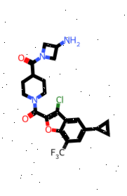 NC1CN(C(=O)C2CCN(C(=O)c3oc4c(C(F)(F)F)cc(C5CC5)cc4c3Cl)CC2)C1